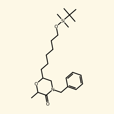 CC1OC(CCCCCCO[Si](C)(C)C(C)(C)C)CN(Cc2ccccc2)C1=O